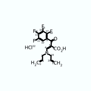 C=CCN(C=C(C(=O)O)C(=O)c1cc(F)c(F)c(F)c1F)CC=C.Cl